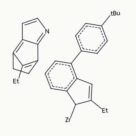 CCC1=C2CCC1=C1C=CN=C12.CCC1=Cc2c(-c3ccc(C(C)(C)C)cc3)cccc2[CH]1[Zr]